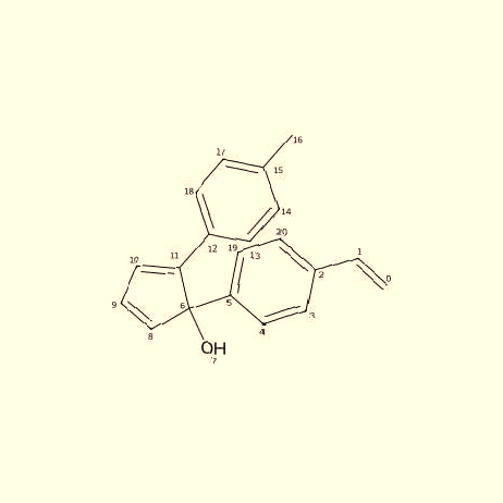 C=Cc1ccc(C2(O)C=CC=C2c2ccc(C)cc2)cc1